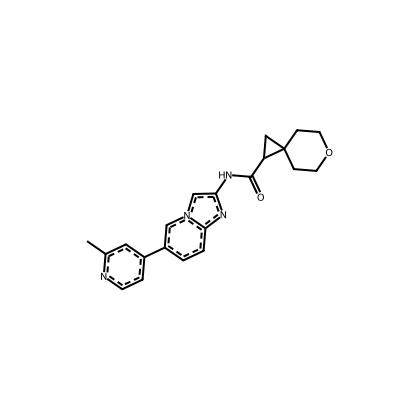 Cc1cc(-c2ccc3nc(NC(=O)C4CC45CCOCC5)cn3c2)ccn1